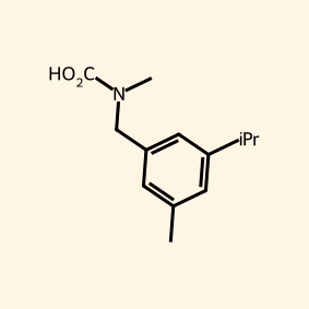 Cc1cc(CN(C)C(=O)O)cc(C(C)C)c1